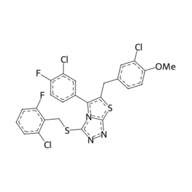 COc1ccc(Cc2sc3nnc(SCc4c(F)cccc4Cl)n3c2-c2ccc(F)c(Cl)c2)cc1Cl